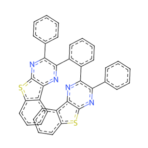 c1ccc(-c2nc3sc4ccccc4c3nc2-c2ccccc2-c2nc3c(nc2-c2ccccc2)sc2ccccc23)cc1